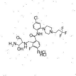 Cl.Cl.NC(O)C(C=O)NCc1c(C(=O)Nc2ccc(Cl)cc2N2CCN(CCC(F)(F)F)CC2)ccc(F)c1F